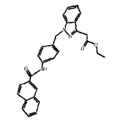 CCOC(=O)Cc1nn(Cc2ccc(NC(=O)c3ccc4ccccc4c3)cc2)c2ccccc12